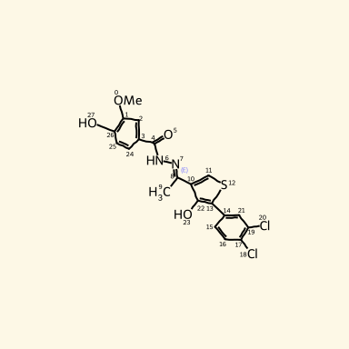 COc1cc(C(=O)N/N=C(\C)c2csc(-c3ccc(Cl)c(Cl)c3)c2O)ccc1O